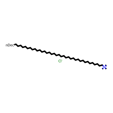 CCCCCCCCCCCCCCCCCCCCCCCCCCCCCCCCCCCCCCCCCCCCCCC[N+](C)(C)C.[Cl-]